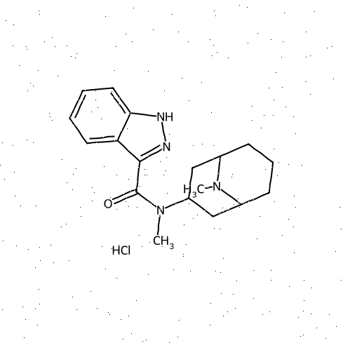 CN(C(=O)c1n[nH]c2ccccc12)C1CC2CCCC(C1)N2C.Cl